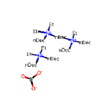 CCCCCCCCCC[N+](CC)(CC)CCCCCCCCCC.CCCCCCCCCC[N+](CC)(CC)CCCCCCCCCC.CCCCCCCCCC[N+](CC)(CC)CCCCCCCCCC.[O-]B([O-])[O-]